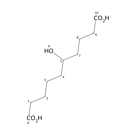 O=C(O)CCCCC(O)CCCC(=O)O